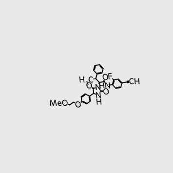 C#Cc1ccc(NC(=O)C([C@@H](C)c2ccccc2)N2C(=O)NC(c3ccc(OCCOC)cc3)C2=O)c(F)c1